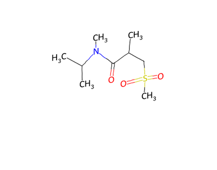 CC(CS(C)(=O)=O)C(=O)N(C)C(C)C